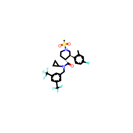 Cc1cc(F)ccc1[C@@H]1CN(S(C)(=O)=O)CC[C@H]1C(=O)N(Cc1cc(C(F)(F)F)cc(C(F)(F)F)c1)C1CC1